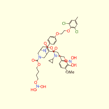 COc1ccc(CN(C(=O)C2=C(c3ccc(OCCOc4c(Cl)cc(C)cc4Cl)cc3)CC3CN(C(=O)OCCCCON(O)O)CC2N3C(=O)OCCCCON(O)O)C2CC2)cc1C